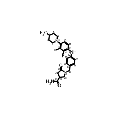 Cc1c(N2CCC(C(F)(F)F)CC2)ccc(Nc2ccc(CN3CC(C(N)=O)CC3=O)cc2)c1F